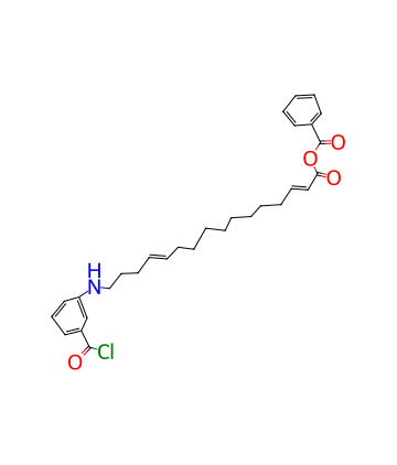 O=C(C=CCCCCCCCCC=CCCCNc1cccc(C(=O)Cl)c1)OC(=O)c1ccccc1